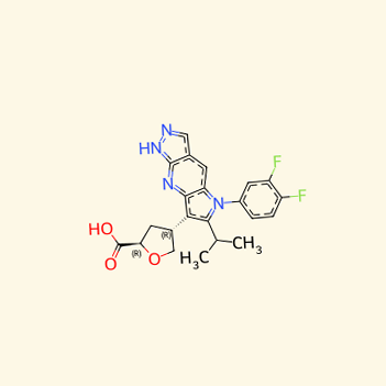 CC(C)c1c([C@@H]2CO[C@@H](C(=O)O)C2)c2nc3[nH]ncc3cc2n1-c1ccc(F)c(F)c1